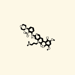 COc1cc(OC)c(Cl)c(-c2cc3cnc(Nc4cccc(N5CCOCC5)c4[N+](=O)[O-])cc3n(CCCN(C)C)c2=O)c1Cl